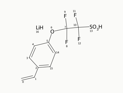 C=Cc1ccc(OC(F)(F)C(F)(F)S(=O)(=O)O)cc1.[LiH]